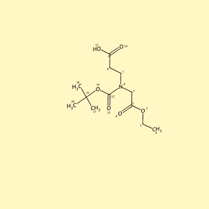 CCOC(=O)CN(CCC(=O)O)C(=O)OC(C)(C)C